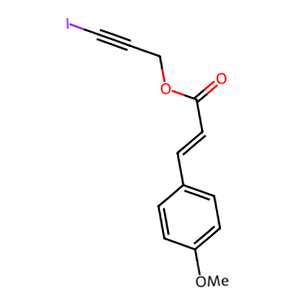 COc1ccc(C=CC(=O)OCC#CI)cc1